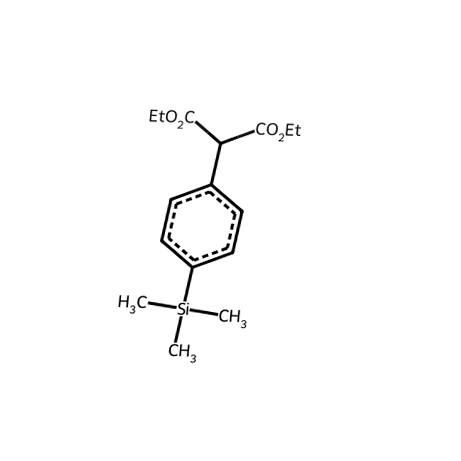 CCOC(=O)C(C(=O)OCC)c1ccc([Si](C)(C)C)cc1